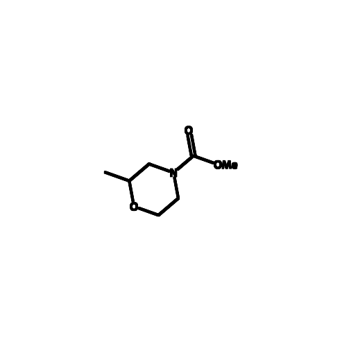 COC(=O)N1CCOC(C)C1